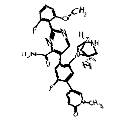 COc1cccc(F)c1-c1ncc(-c2cc(F)c(-c3ccc(=O)n(C)c3)cc2N2C[C@@H]3C[C@H]2CN3)c(C(N)=O)n1